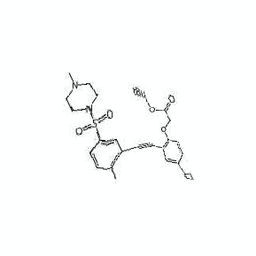 Cc1ccc(S(=O)(=O)N2CCN(C)CC2)cc1C#Cc1cc(Cl)ccc1OCC(=O)OC(C)(C)C